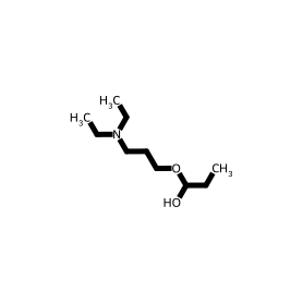 CCC(O)OCCCN(CC)CC